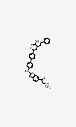 CNCC(=O)c1ccc2nc(Nc3ccc(-c4ccc(C(=O)CC(CCc5ccccc5)C(=O)O)cc4)cc3)sc2c1